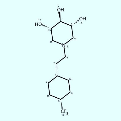 O[C@H]1[C@H](O)CN(CC[C@H]2CC[C@@H](C(F)(F)F)CC2)C[C@@H]1O